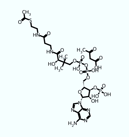 CC(=O)CC(=O)O.CC(=O)SCCNC(=O)CCNC(=O)[C@H](O)C(C)(C)COP(=O)(O)OP(=O)(O)OC[C@H]1O[C@@H](n2cnc3c(N)ncnc32)[C@H](O)[C@@H]1OP(=O)(O)O